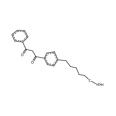 CCCCCCCCCCCCCCCCc1ccc(C(=O)CC(=O)c2ccccc2)cc1